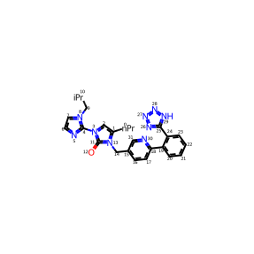 CCCc1cn(-c2nccn2CC(C)C)c(=O)n1Cc1ccc(-c2ccccc2-c2nnn[nH]2)nc1